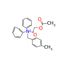 CC(=O)OCC(=O)[N+](Cc1ccc(C)cc1)(c1ccccc1)c1ccccc1